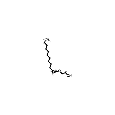 CCCCCCCCCCC1OC1OCCO